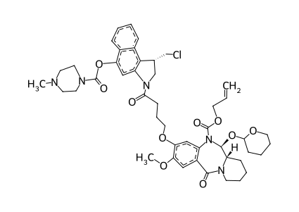 C=CCOC(=O)N1c2cc(OCCCC(=O)N3C[C@@H](CCl)c4c3cc(OC(=O)N3CCN(C)CC3)c3ccccc43)c(OC)cc2C(=O)N2CCCC[C@H]2[C@@H]1OC1CCCCO1